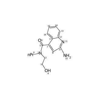 CCCN(CCO)C(=O)c1cc(N)nc2ccccc12